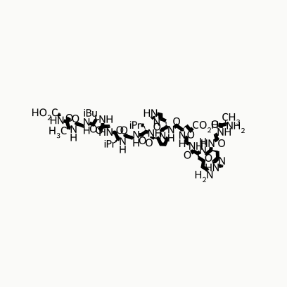 CC[C@H](C)[C@H](NC(=O)CNC(=O)[C@@H](NC(=O)CNC(=O)[C@H](CC(C)C)NC(=O)[C@@H]1CCCN1C(=O)[C@H](Cc1c[nH]cn1)NC(=O)[C@H](CCC(=O)O)NC(=O)CNC(=O)[C@H](CCCCN)NC(=O)[C@H](Cc1c[nH]cn1)NC(=O)CNC(=O)[C@H](C)N)C(C)C)C(=O)NCC(=O)N[C@@H](C)C(=O)NCC(=O)O